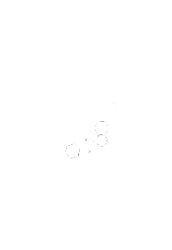 CCCN1CC(c2ccc3c(ccn3S(=O)(=O)c3ccc(OC(F)F)cc3)c2)C1